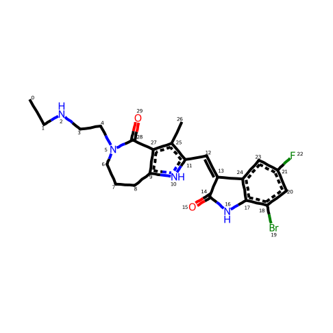 CCNCCN1CCCc2[nH]c(/C=C3\C(=O)Nc4c(Br)cc(F)cc43)c(C)c2C1=O